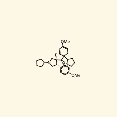 COC1=CCC(C(=O)[C@]2(F)CN(C3CCCC3)C[C@H]2c2ccc(OC)cc2)(C2CCCN2)C=C1